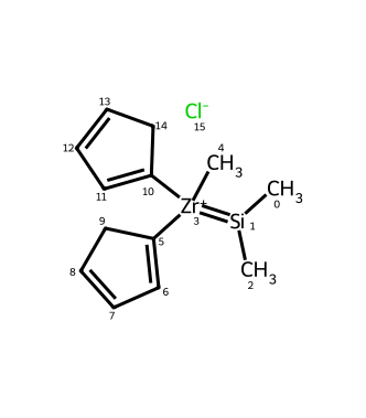 C[Si](C)=[Zr+]([CH3])([C]1=CC=CC1)[C]1=CC=CC1.[Cl-]